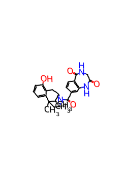 CC12CCN(C(=O)c3ccc4c(c3)NC(=O)CNC4=O)C(Cc3c(O)cccc31)C2(C)C